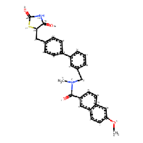 COc1ccc2cc(C(=O)N(C)Cc3cccc(-c4ccc(CC5SC(=O)NC5=O)cc4)c3)ccc2c1